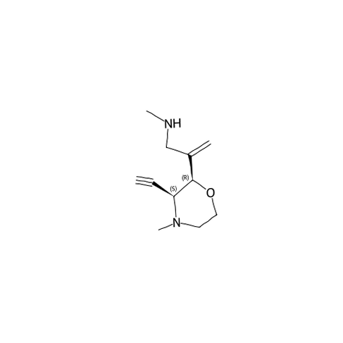 C#C[C@H]1[C@@H](C(=C)CNC)OCCN1C